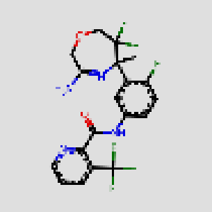 CC1(c2cc(NC(=O)c3ncccc3C(F)(F)F)ccc2F)N=C(N)COCC1(F)F